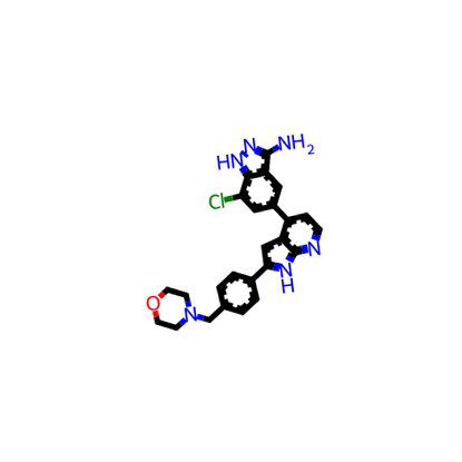 Nc1n[nH]c2c(Cl)cc(-c3ccnc4[nH]c(-c5ccc(CN6CCOCC6)cc5)cc34)cc12